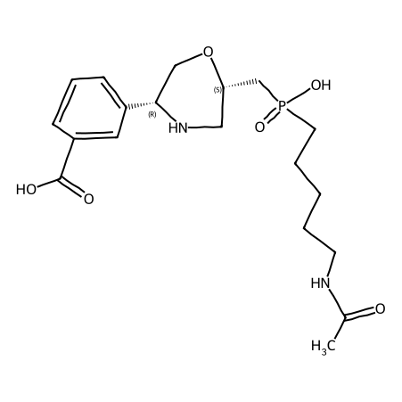 CC(=O)NCCCCCP(=O)(O)C[C@@H]1CN[C@H](c2cccc(C(=O)O)c2)CO1